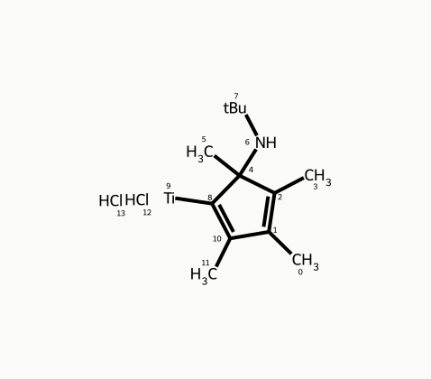 CC1=C(C)C(C)(NC(C)(C)C)[C]([Ti])=C1C.Cl.Cl